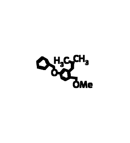 COCc1ccc(OCc2ccccc2)cc1C=C(C)C